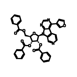 O=C(OC[C@H]1O[C@@H](n2c3cnccc3c3c(-c4ccoc4)ncnc32)[C@H](OC(=O)c2ccccc2)[C@@H]1OC(=O)c1ccccc1)c1ccccc1